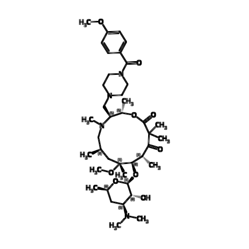 COc1ccc(C(=O)N2CCN(C[C@H]3[C@H](C)OC(=O)C(C)(C)C(=O)[C@H](C)[C@@H](O[C@@H]4O[C@H](C)C[C@H](N(C)C)[C@H]4O)[C@](C)(OC)C[C@@H](C)CN3C)CC2)cc1